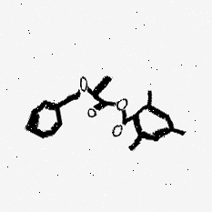 C=C(OCCc1ccccc1)C(=O)OC(=O)c1c(C)cc(C)cc1C